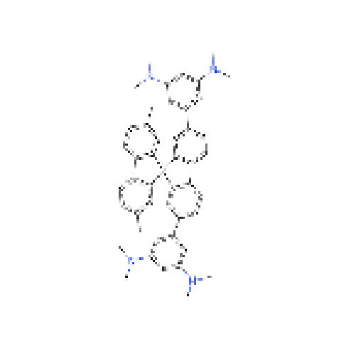 Cc1ccc2c(c1)C1(c3cc(C)ccc3-2)c2cc(-c3cc(N(C)C)cc(N(C)C)c3)ccc2-c2ccc(-c3cc(N(C)C)cc(N(C)C)c3)cc21